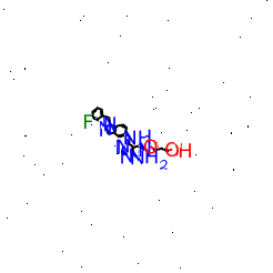 Nc1ncnc(Nc2ccc3c(cnn3Cc3cccc(F)c3)c2)c1C=NOCCCO